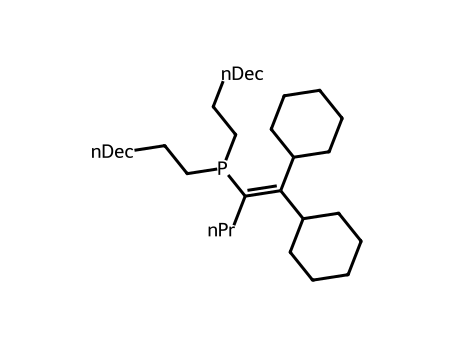 CCCCCCCCCCCCP(CCCCCCCCCCCC)C(CCC)=C(C1CCCCC1)C1CCCCC1